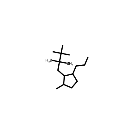 BC(B)(CC1C(C)CCC1CCC)C(C)(C)C